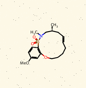 COc1ccc2c(c1)OCCCC/C=C/C[C@H](C)CN(C)S2(=O)=O